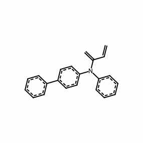 C=CC(=C)N(c1ccccc1)c1ccc(-c2ccccc2)cc1